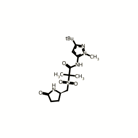 Cn1nc(C(C)(C)C)cc1NC(=O)C(C)(C)S(=O)(=O)C[C@H]1CCC(=O)N1